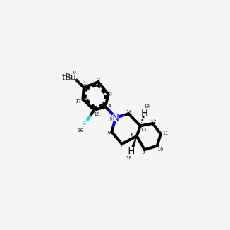 CC(C)(C)c1ccc(N2CC[C@H]3CCCC[C@@H]3C2)c(F)c1